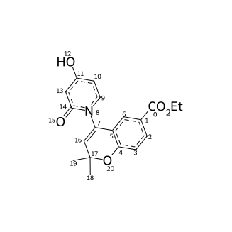 CCOC(=O)c1ccc2c(c1)C(n1ccc(O)cc1=O)=CC(C)(C)O2